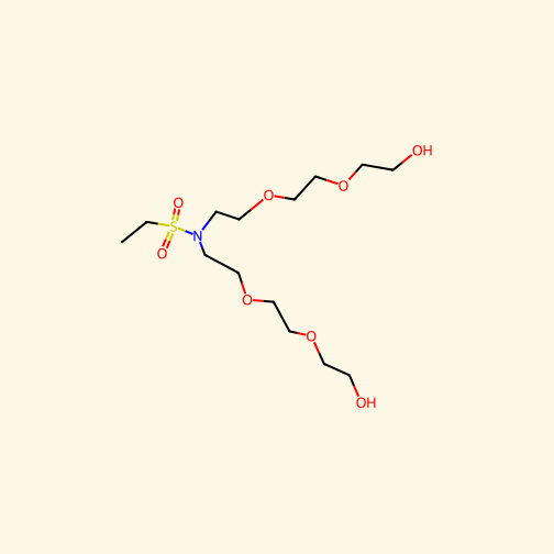 CCS(=O)(=O)N(CCOCCOCCO)CCOCCOCCO